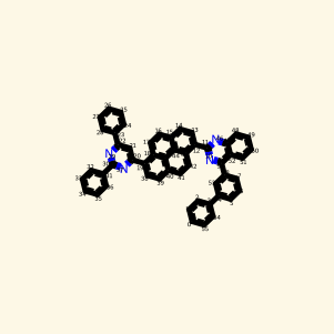 c1ccc(-c2cccc(-c3nc(-c4ccc5ccc6c(-c7cc(-c8ccccc8)nc(-c8ccccc8)n7)ccc7ccc4c5c76)nc4ccccc34)c2)cc1